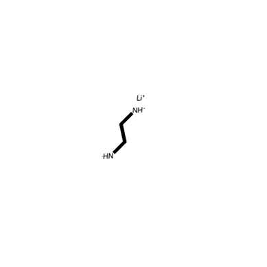 [Li+].[NH]CC[NH-]